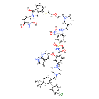 CC1(C)CCC(CN2CCN(c3ccc(C(=O)NS(=O)(=O)c4ccc(NCC5CCCN(CCOCCSc6cccc7c6CN(C6CCC(=O)NC6=O)C7=O)C5)c([N+](=O)[O-])c4)c(Oc4cnc5[nH]ccc5c4)c3)CC2)=C(c2ccc(Cl)cc2)C1